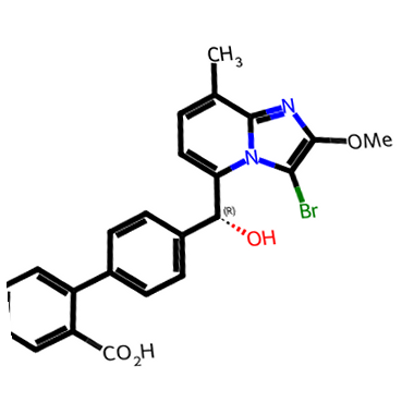 COc1nc2c(C)ccc([C@H](O)c3ccc(-c4ccccc4C(=O)O)cc3)n2c1Br